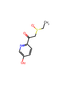 CC[S+]([O-])CC(=O)c1ccc(O)cn1